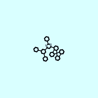 c1ccc(-c2cc(-c3ccccc3)cc(-c3cc(-c4cccc5c4-c4ccccc4C54c5ccccc5-c5ccccc54)nc(-c4ccccc4)n3)c2)cc1